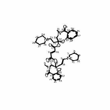 CN1CC(CCN2CCCCC2)(OC(=O)/C=C/C(=O)OC2(CCN3CCCCC3)CN(C)C(=O)c3ccccc3O2)Oc2ccccc2C1=O